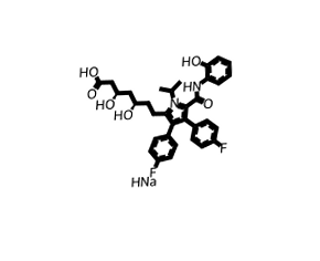 CC(C)n1c(CC[C@@H](O)C[C@@H](O)CC(=O)O)c(-c2ccc(F)cc2)c(-c2ccc(F)cc2)c1C(=O)Nc1ccccc1O.[NaH]